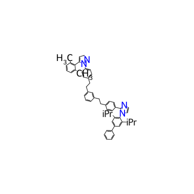 Cc1cccc(C)c1-c1ccnn1-c1ccc(CCc2cccc(CCc3ccc(-c4nccn4-c4c(C(C)C)cc(-c5ccccc5)cc4C(C)C)cc3)c2)cc1